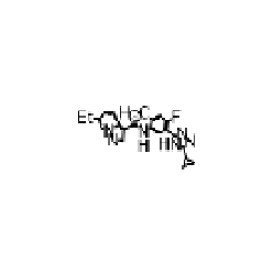 CCc1ccc2c(C(=O)Nc3cc(-c4nnc(C5CC5)[nH]4)c(F)cc3C)cnn2c1